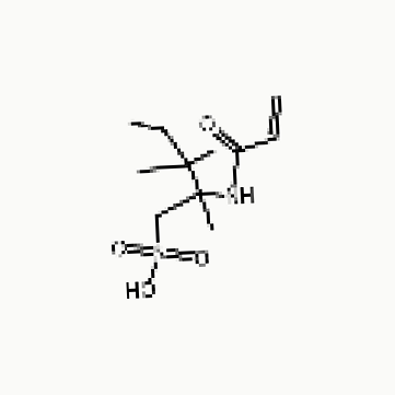 C=CC(=O)NC(C)(CS(=O)(=O)O)C(C)(C)CC